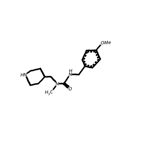 COc1ccc(CNC(=O)N(C)CC2CCNCC2)cc1